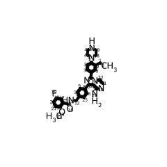 CCc1cc(-c2nc(-c3ccc(CNC(=O)c4cc(F)ccc4OC)cc3)c3c(N)nccn23)ccc1N1CCNCC1